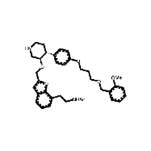 COc1ccccc1COCCCOc1ccc([C@H]2CCNC[C@@H]2OCc2cc3cccc(CCNC(C)=O)c3o2)cc1